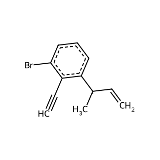 C#Cc1c(Br)cccc1[C](C)C=C